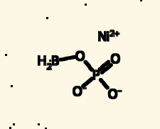 BOP(=O)([O-])[O-].[Ni+2]